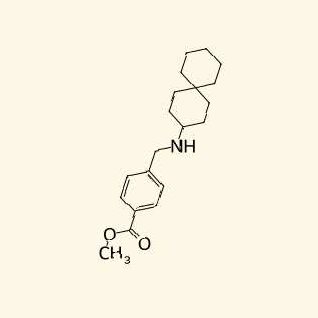 COC(=O)c1ccc(CNC2CCC3(CCCCC3)CC2)cc1